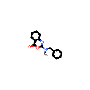 CC(=O)N(Cc1ccccc1)c1nc2ccccc2c(=O)o1